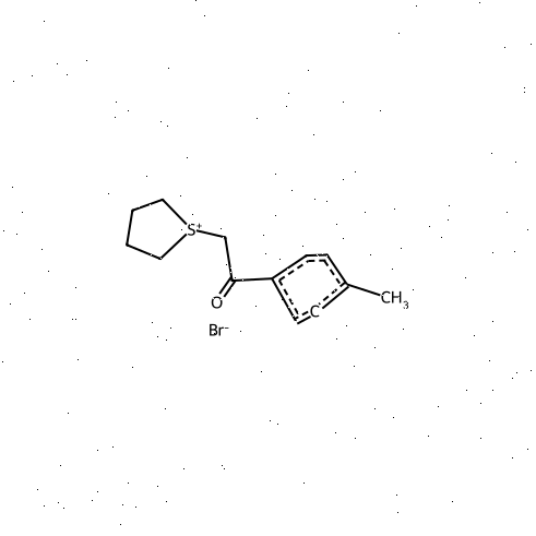 Cc1ccc(C(=O)C[S+]2CCCC2)cc1.[Br-]